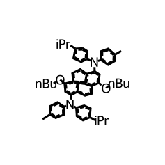 CCCCOc1cc(N(c2ccc(C)cc2)c2ccc(C(C)C)cc2)c2ccc3c(OCCCC)cc(N(c4ccc(C)cc4)c4ccc(C(C)C)cc4)c4ccc1c2c34